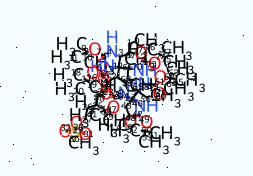 CCCC(NC(=O)OC(C)(C)C)C(NC(=O)OC(C)(C)C)(C(CCCCCCOS(C)(=O)=O)CN(C(=O)OC(C)(C)C)C(CCC)(NC(=O)OC(C)(C)C)C(C)(CC)NC(=O)OC(C)(C)C)C(C)(CC)NC(=O)OC(C)(C)C